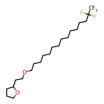 FC(F)(F)C(F)(F)CCCCCCCCCCCCCOCCC1CCCO1